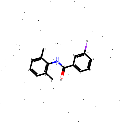 Cc1cccc(C)c1NC(=O)c1cccc(I)c1